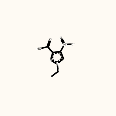 CCn1cc([N+](=O)[O-])c(C(=O)O)n1